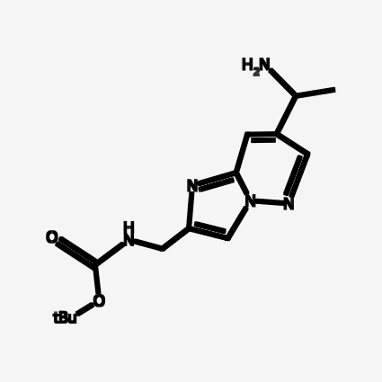 CC(N)c1cnn2cc(CNC(=O)OC(C)(C)C)nc2c1